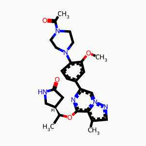 COc1cc(-c2cn3ncc(C)c3c(OC(C)[C@H]3CNC(=O)C3)n2)ccc1N1CCN(C(C)=O)CC1